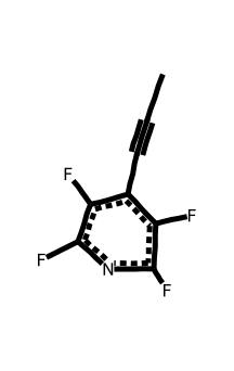 CC#Cc1c(F)c(F)nc(F)c1F